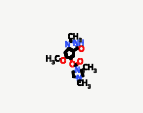 COc1cc2nc(C)[nH]c(=O)c2cc1OC(=O)N1CCN(C)C[C@@H]1C